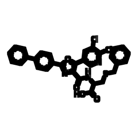 O=C(NC(CSCc1ccccc1)C(=O)O)c1nc(-c2ccc(-c3ccccc3)cc2)oc1-c1cnc(Cl)c(Cl)c1